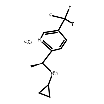 C[C@H](NC1CC1)c1ccc(C(F)(F)F)cn1.Cl